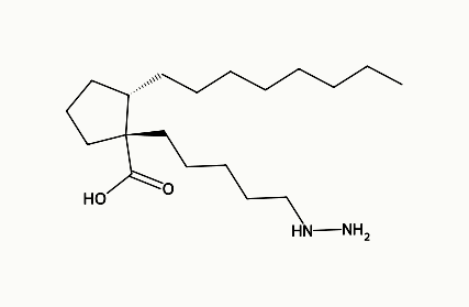 CCCCCCCC[C@H]1CCC[C@@]1(CCCCCNN)C(=O)O